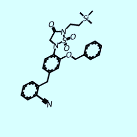 C[Si](C)(C)CCN1C(=O)CN(c2ccc(Cc3ccccc3C#N)cc2OCc2ccccc2)S1(=O)=O